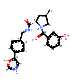 C[C@@H]1C[C@@H](C(=O)NCc2ccc(-c3cnco3)cc2)N(C(=O)c2cccc(O)c2)C1